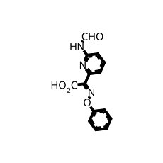 O=CNc1cccc(C(=NOc2ccccc2)C(=O)O)n1